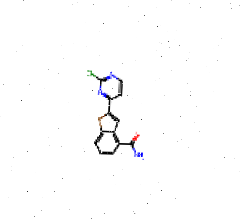 NC(=O)c1cccc2sc(-c3ccnc(Cl)n3)cc12